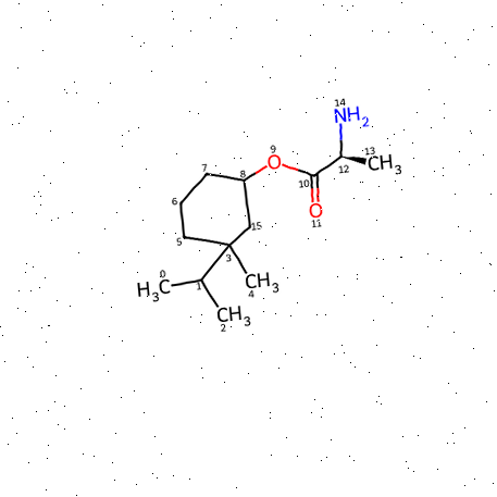 CC(C)C1(C)CCCC(OC(=O)[C@H](C)N)C1